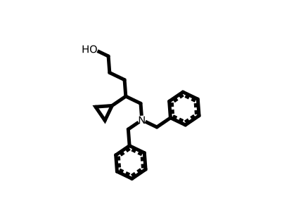 OCCCC(CN(Cc1ccccc1)Cc1ccccc1)C1CC1